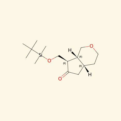 CC(C)(C)[Si](C)(C)OC[C@@H]1C(=O)C[C@H]2CCOC[C@H]21